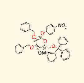 CO[C@@H]1[C@H](OCc2ccccc2)[C@@H](OCc2ccccc2)[C@@H](Oc2ccc([N+](=O)[O-])cc2)O[C@@H]1COC(c1ccccc1)(c1ccccc1)c1ccccc1